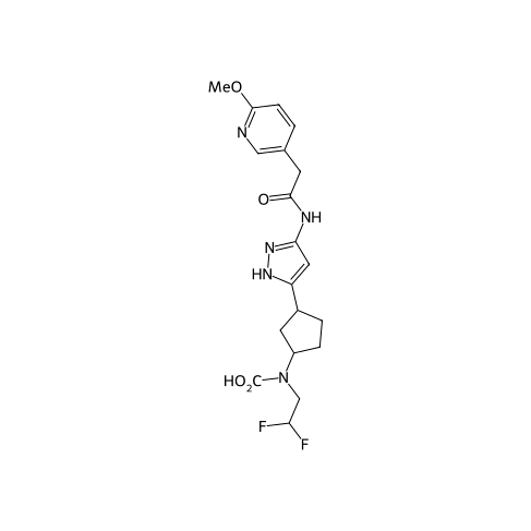 COc1ccc(CC(=O)Nc2cc(C3CCC(N(CC(F)F)C(=O)O)C3)[nH]n2)cn1